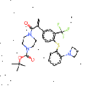 C=C(C(=O)N1CCN(C(=O)OC(C)(C)C)CC1)c1ccc(Sc2ccccc2N2CCC2)c(C(F)(F)F)c1